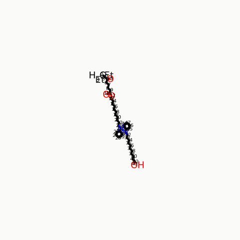 CCC(C)(CC)C(=O)CCCCC(=O)OCCCCCCCCCCCN1c2ccccc2N(CCCCCCCCCCCO)c2ccccc21